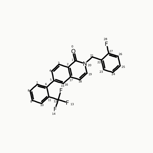 O=c1c2ccc(-c3ccccc3C(F)(F)F)cc2ccn1Cc1ccccc1F